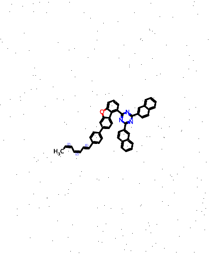 C\C=C/C=C\C=C\c1ccc(-c2ccc3c(c2)oc2cccc(-c4nc(-c5ccc6ccccc6c5)nc(-c5ccc6ccccc6c5)n4)c23)cc1